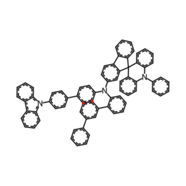 c1ccc(-c2cccc(-c3ccccc3N(c3ccc(-c4ccc(-n5c6ccccc6c6ccccc65)cc4)cc3)c3ccc4c(c3)C3(c5ccccc5-4)c4ccccc4N(c4ccccc4)c4ccccc43)c2)cc1